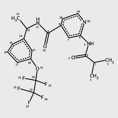 CC(C)C(=O)Nc1cc(C(=O)NC(C)c2cccc(OC(F)(F)C(F)(F)F)c2)ccn1